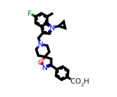 Cc1cc(F)cc2c(CN3CCC4(CC3)CC(c3ccc(C(=O)O)cc3)=NO4)cn(C3CC3)c12